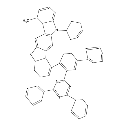 CC1C=CC=C2C1c1cc3c(cc1N2C1CC=CCC1)C1C(C2=C(c4nc(-c5ccccc5)nc(C5C=CC=CC5)n4)C=C(c4ccccc4)CC2)=CCCC1S3